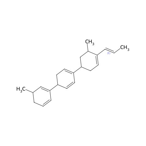 C/C=C/C1=CCC(C2=CCC(C3=CC(C)CC=C3)C=C2)CC1C